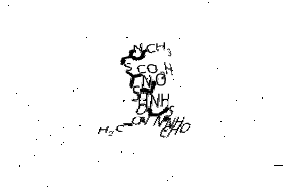 C=CCO/N=C(\C(=O)NC1C(=O)N2C(C(=O)O)=C(CS/C=C\c3ccc(C)nc3)CS[C@H]12)c1csc(NC=O)n1